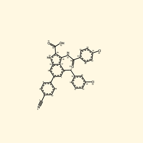 N#Cc1ccc(-c2cc(Cc3cccc(Cl)c3)c3c(NC(=O)c4ccc(Cl)cc4)c(C(=O)O)[nH]c3c2)cc1